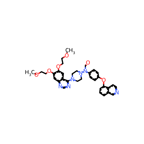 COCCOc1cc2ncnc(N3CCN(N(C=O)c4ccc(Oc5cccc6cnccc56)cc4)CC3)c2cc1OCCOC